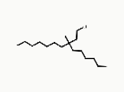 CCCCCCCC(C)(CCCl)CCCCCC